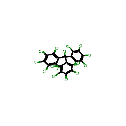 Clc1c(Cl)c(Cl)c(C(Cl)(c2c(Cl)c(Cl)c(Cl)c(Cl)c2Cl)c2c(Cl)c(Cl)c(Cl)c(Cl)c2Cl)c(Cl)c1Cl